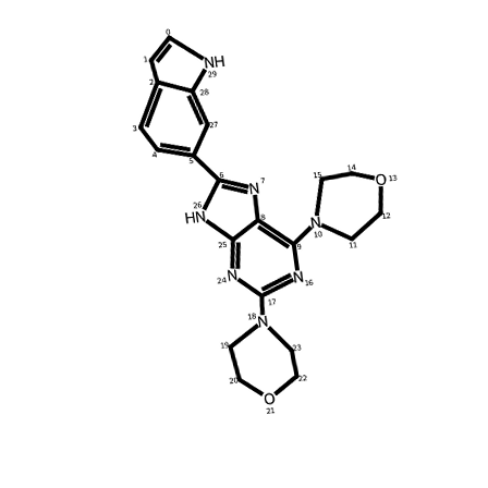 c1cc2ccc(-c3nc4c(N5CCOCC5)nc(N5CCOCC5)nc4[nH]3)cc2[nH]1